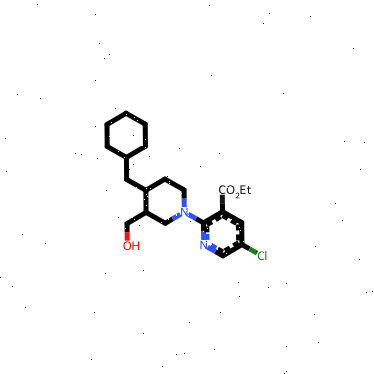 CCOC(=O)c1cc(Cl)cnc1N1CCC(CC2CCCCC2)C(CO)C1